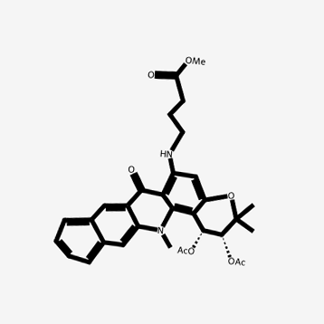 COC(=O)CCCNc1cc2c(c3c1c(=O)c1cc4ccccc4cc1n3C)[C@@H](OC(C)=O)[C@@H](OC(C)=O)C(C)(C)O2